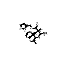 C#CC(C)(O/C=C\C)C(/N=C(/N)C(C)(C#C)C(=O)NCc1ccno1)=C(C)C